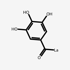 O=[C]([La])c1cc(O)c(O)c(O)c1